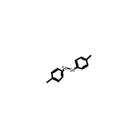 Cc1ccc([Se][Se]c2ccc(C)cc2)cc1